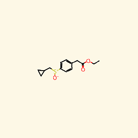 CCOC(=O)Cc1ccc([S+]([O-])CC2CC2)cc1